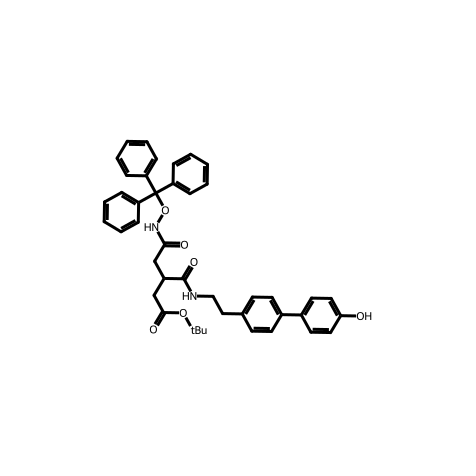 CC(C)(C)OC(=O)CC(CC(=O)NOC(c1ccccc1)(c1ccccc1)c1ccccc1)C(=O)NCCc1ccc(-c2ccc(O)cc2)cc1